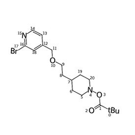 CC(C)(C)C(=O)ON1CCC(CCOCc2ccnc(Br)c2)CC1